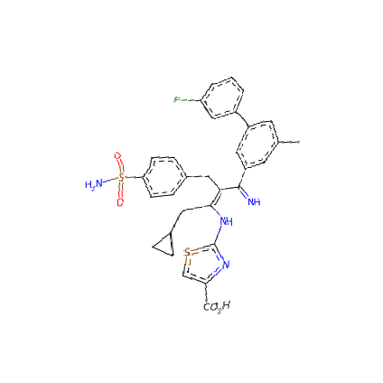 Cc1cc(C(=N)/C(Cc2ccc(S(N)(=O)=O)cc2)=C(/CC2CC2)Nc2nc(C(=O)O)cs2)cc(-c2cccc(F)c2)c1